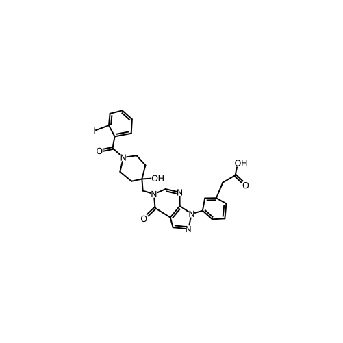 O=C(O)Cc1cccc(-n2ncc3c(=O)n(CC4(O)CCN(C(=O)c5ccccc5I)CC4)cnc32)c1